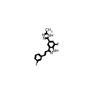 Cc1nnc(-c2cc(F)c3[nH]nc(/C=C/c4cccc(F)c4)c3c2)[nH]1